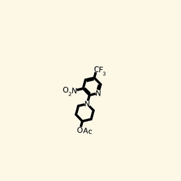 CC(=O)OC1CCN(c2ncc(C(F)(F)F)cc2[N+](=O)[O-])CC1